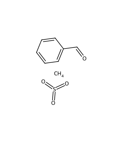 C.O=Cc1ccccc1.O=S(=O)=O